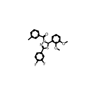 COc1cccc(C2SC(c3ccc(F)c(F)c3)=NN2C(=O)c2cccc(C)c2)c1OC